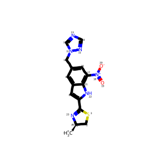 [CH2][C@@H]1CSC(c2cc3cc(Cn4cncn4)cc([N+](=O)[O-])c3[nH]2)=N1